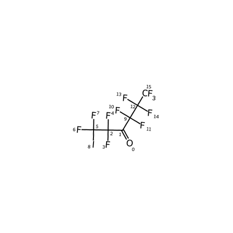 O=C(C(F)(F)C(F)(F)I)C(F)(F)C(F)(F)C(F)(F)F